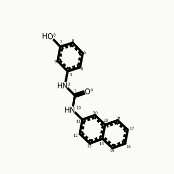 O=C(Nc1cccc(O)c1)Nc1ccc2ccccc2c1